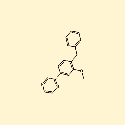 COc1nc(-c2cnccn2)ccc1Cc1ccccc1